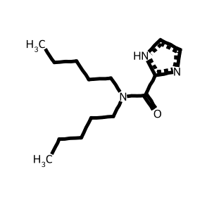 CCCCCN(CCCCC)C(=O)c1ncc[nH]1